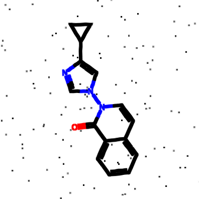 O=c1c2ccccc2ccn1-n1cnc(C2CC2)c1